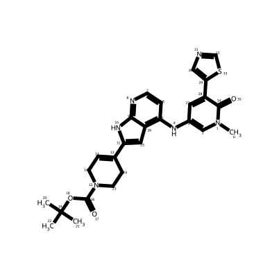 Cn1cc(Nc2ccnc3[nH]c(C4=CCN(C(=O)OC(C)(C)C)CC4)cc23)cc(-c2cncs2)c1=O